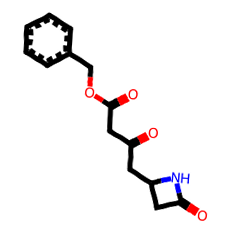 O=C(CC(=O)OCc1ccccc1)CC1CC(=O)N1